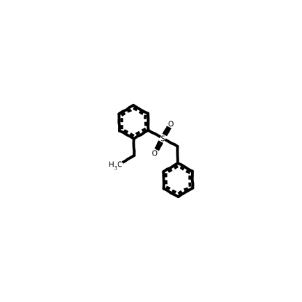 CCc1ccccc1S(=O)(=O)Cc1ccccc1